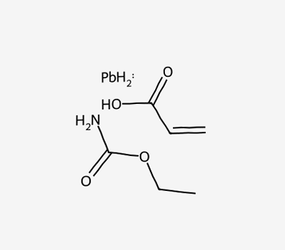 C=CC(=O)O.CCOC(N)=O.[PbH2]